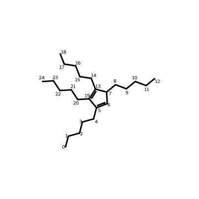 CCCCCC1=[C]C(CCCCC)C(CCCCC)=C1CCCCC